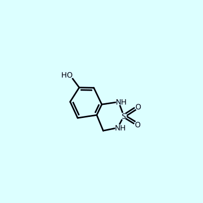 O=S1(=O)NCc2ccc(O)cc2N1